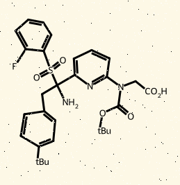 CC(C)(C)OC(=O)N(CC(=O)O)c1cccc(C(N)(Cc2ccc(C(C)(C)C)cc2)S(=O)(=O)c2ccccc2F)n1